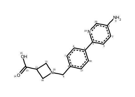 Nc1ccc(-c2ccc(CN3CC(C(=O)O)C3)cc2)nc1